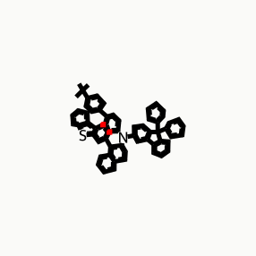 CC(C)(C)c1ccc(-c2ccc(N(c3ccc4c(c3)-c3ccccc3C4(c3ccccc3)c3ccccc3)c3ccc4ccccc4c3-c3ccc4c(c3)sc3ccccc34)cc2)cc1